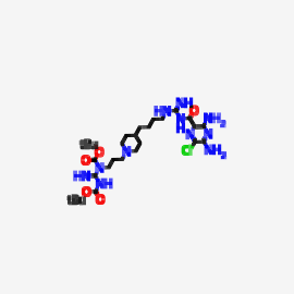 CC(C)(C)OC(=O)NC(=N)N(CCCN1CCC(CCCCNC(=N)NC(=O)c2nc(Cl)c(N)nc2N)CC1)C(=O)OC(C)(C)C